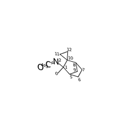 CC1(N=C=O)C2CCC(C2)C12CC2